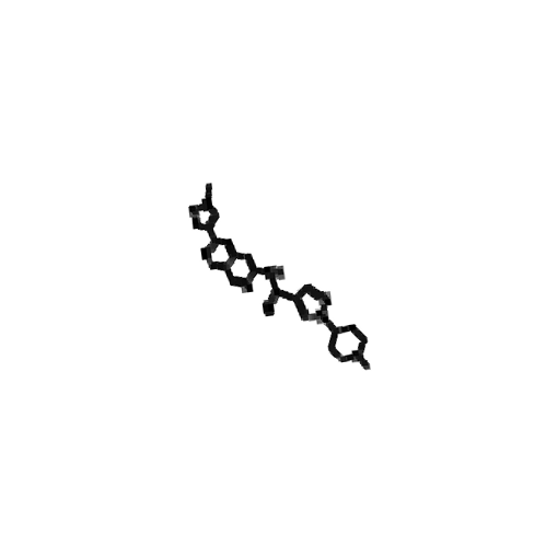 CN1CCC(n2cc(C(=O)Nc3cc4cc(-c5cnn(C)c5)ncc4cn3)cn2)CC1